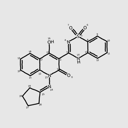 O=c1c(C2=NS(=O)(=O)c3ccccc3N2)c(O)c2ccccc2n1N=C1CCCC1